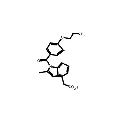 Cc1cc2c(CC(=O)O)cccc2n1C(=O)c1ccc(OCCC(F)(F)F)cc1